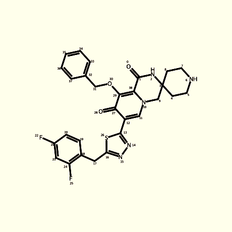 O=C1NC2(CCNCC2)Cn2cc(-c3nnc(Cc4ccc(F)cc4F)s3)c(=O)c(OCc3ccccc3)c21